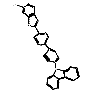 CCc1ccc2nc(-c3ccc(-c4ccc(-n5c6ccccc6c6ccccc65)cc4)cc3)oc2c1